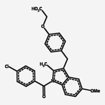 COc1ccc2c(c1)c(Cc1ccc(OCC(=O)O)cc1)c(C)n2C(=O)c1ccc(Cl)cc1